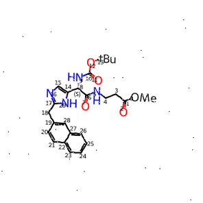 COC(=O)CCNC(=O)[C@@H](NC(=O)OC(C)(C)C)c1cnc(Cc2ccc3ccccc3c2)[nH]1